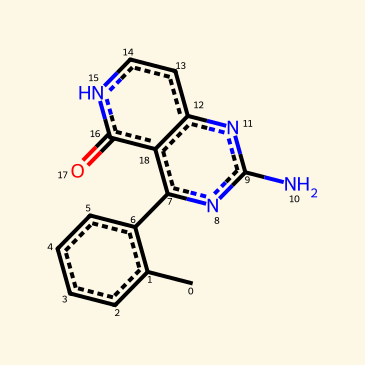 Cc1ccccc1-c1nc(N)nc2cc[nH]c(=O)c12